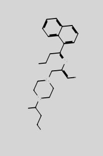 C/C=C(CN1CCN(C(C)CCC)CC1)\N=C(/CCC)c1cccc2ccccc12